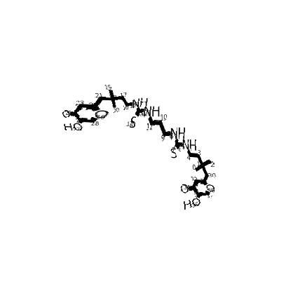 CC(C)(CCNC(=S)NCCCNC(=S)NCCC(C)(C)Cc1cc(=O)c(O)co1)Cc1cc(=O)c(O)co1